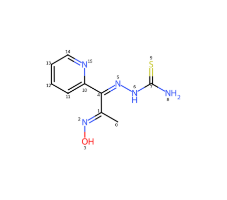 CC(=NO)C(=NNC(N)=S)c1ccccn1